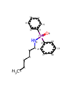 CCCCCCNP(=O)(c1ccccc1)c1ccccc1